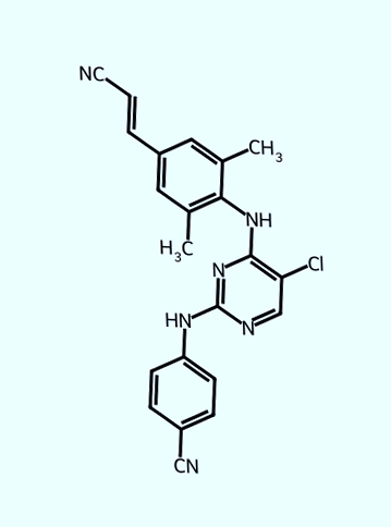 Cc1cc(/C=C/C#N)cc(C)c1Nc1nc(Nc2ccc(C#N)cc2)ncc1Cl